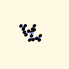 c1ccc(-c2ccc3c4c(cccc24)-c2nc(-c4ccc(-n5c6ccccc6c6ccc(-c7ccc8c(c7)c7ccccc7n8-c7ccccc7)cc65)cc4)nc(-c4cccc(-n5c6ccccc6c6ccc(-c7ccc8c(c7)c7ccccc7n8-c7ccccc7)cc65)c4)c2-3)cc1